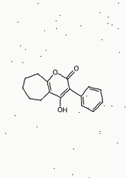 O=c1oc2c(c(O)c1-c1ccccc1)CCCCC2